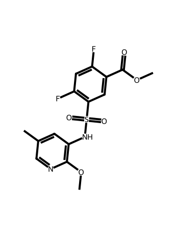 COC(=O)c1cc(S(=O)(=O)Nc2cc(C)cnc2OC)c(F)cc1F